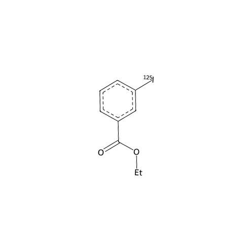 CCOC(=O)c1cccc([125I])c1